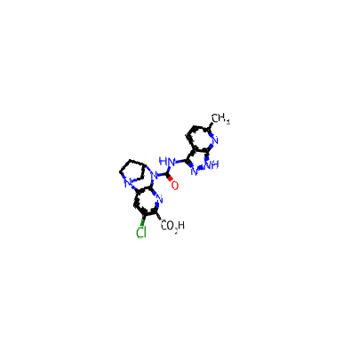 Cc1ccc2c(NC(=O)N3c4nc(C(=O)O)c(Cl)cc4N4CCC3C4)n[nH]c2n1